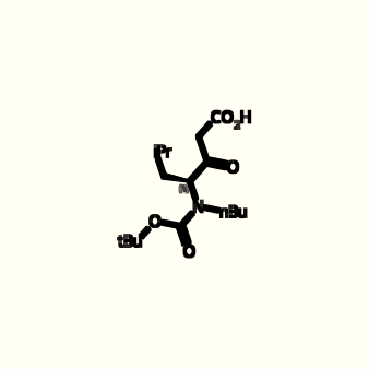 CCCCN(C(=O)OC(C)(C)C)[C@@H](CC(C)C)C(=O)CC(=O)O